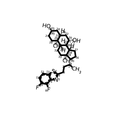 CC(CCc1nc2c(F)c(F)ccc2s1)[C@H]1CC[C@H]2[C@@H]3[C@@H](O)C[C@@H]4C[C@H](O)CC[C@]4(C)[C@H]3CC[C@]12C